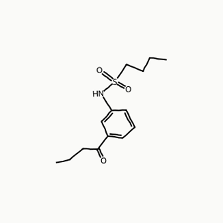 CCCCS(=O)(=O)Nc1cccc(C(=O)CCC)c1